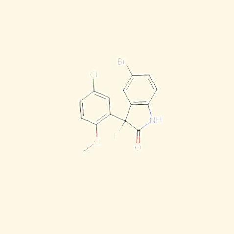 COc1ccc(Cl)cc1C1(F)C(=O)Nc2ccc(Br)cc21